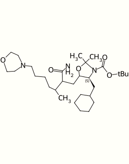 CC(CCCCN1CCOCC1)C(CC1OC(C)(C)N(C(=O)OC(C)(C)C)[C@H]1CC1CCCCC1)C(N)=O